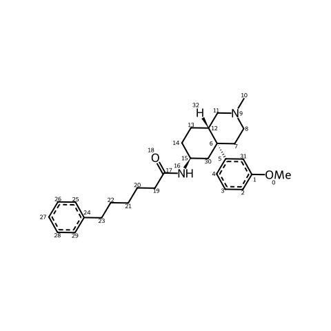 COc1cccc([C@@]23CCN(C)C[C@H]2CC[C@H](NC(=O)CCCCCc2ccccc2)C3)c1